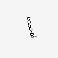 COc1ccc(C2C=c3cc4c(cc3O2)=Cc2ccccc2O4)cc1